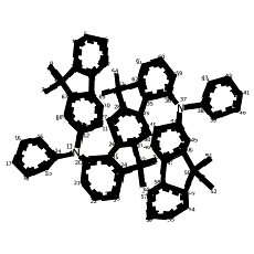 CC1(C)c2ccccc2-c2ccc(N(c3ccccc3)c3cccc4c3-c3cc5c(cc3C4(C)C)-c3c(N(c4ccccc4)c4ccc6c(c4)C(C)(C)c4ccccc4-6)cccc3C5(C)C)cc21